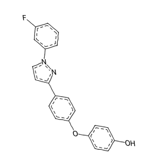 Oc1ccc(Oc2ccc(-c3ccn(-c4cccc(F)c4)n3)cc2)cc1